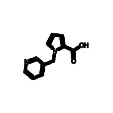 O=C(O)c1cccn1Cc1cccnc1